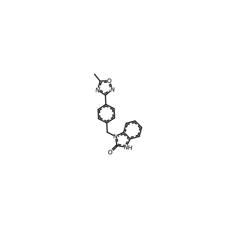 Cc1nc(-c2ccc(Cn3c(=O)[nH]c4ccccc43)cc2)no1